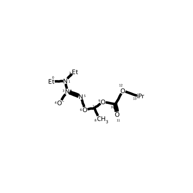 CCN(CC)/[N+]([O-])=N/OC(C)OC(=O)OC(C)C